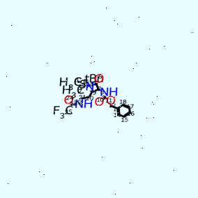 CC(C)(C)[Si](C)(C)N1C(=O)C(NC(=O)OCc2ccccc2)C1CCNC(=O)C(F)(F)F